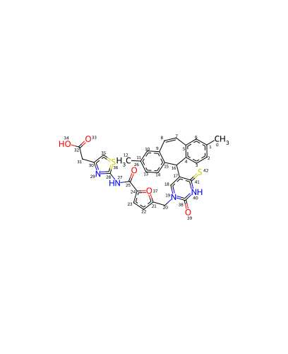 Cc1ccc2c(c1)C=Cc1cc(C)ccc1C2c1cn(Cc2ccc(C(=O)Nc3nc(CC(=O)O)cs3)o2)c(=O)[nH]c1=S